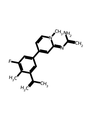 C=C(N)/N=c1/cc(-c2cc(F)c(C)c(C(=C)C)c2)ccn1C